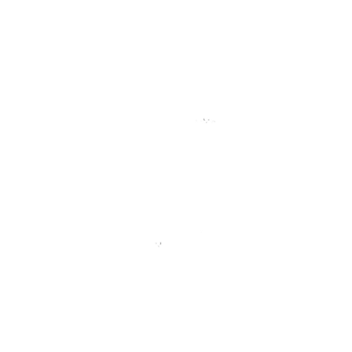 COCc1ccc2ccc(COC)cc2c1